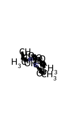 CC#CCC(C)(C)[C@H](O)/C=C/[C@@H]1[C@@H](C/C=C\CCCC(=O)OC)[C@H](OS(=O)(=O)c2ccc(C)cc2)C[C@H]1O